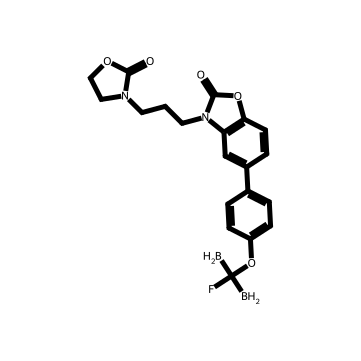 BC(B)(F)Oc1ccc(-c2ccc3oc(=O)n(CCCN4CCOC4=O)c3c2)cc1